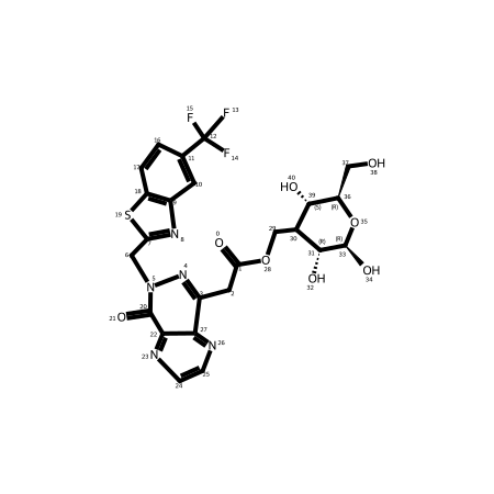 O=C(Cc1nn(Cc2nc3cc(C(F)(F)F)ccc3s2)c(=O)c2nccnc12)OCC1[C@@H](O)[C@H](O)O[C@H](CO)[C@H]1O